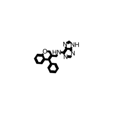 c1ccc(C2=C(CNc3ncnc4[nH]cnc34)COc3ccccc32)cc1